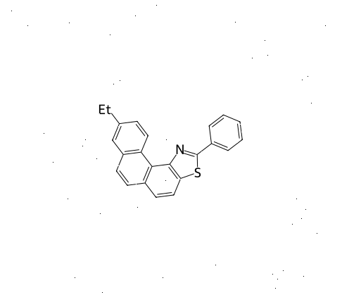 CCc1ccc2c(ccc3ccc4sc(-c5ccccc5)nc4c32)c1